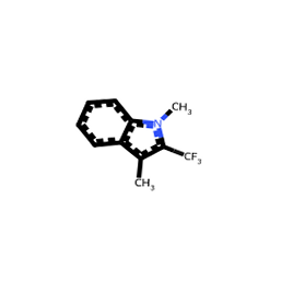 Cc1c(C(F)(F)F)n(C)c2ccccc12